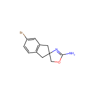 NC1=NC2(CO1)Cc1ccc(Br)cc1C2